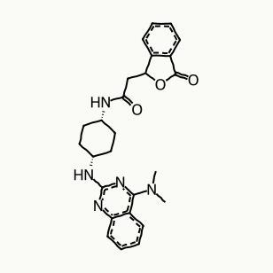 CN(C)c1nc(N[C@H]2CC[C@@H](NC(=O)CC3OC(=O)c4ccccc43)CC2)nc2ccccc12